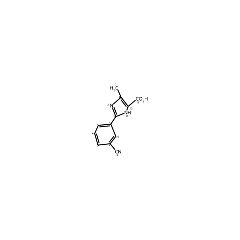 Cc1nc(-c2cccc(C#N)c2)[nH]c1C(=O)O